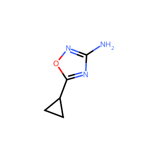 Nc1noc(C2CC2)n1